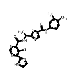 Cc1ccc(NC(=O)c2cnc(C(C)NC(=O)c3ncnc(-c4ncc[nH]4)c3Cl)s2)cc1C(F)(F)F